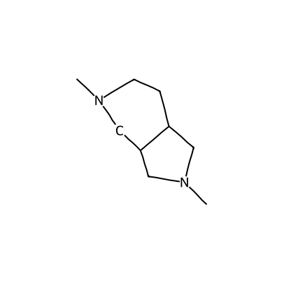 CN1CCC2CN(C)CC2C1